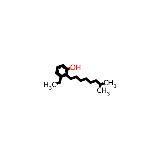 CCc1cccc(O)c1CCCCCCC(C)C